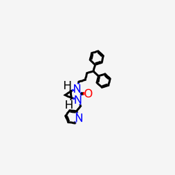 O=C1N(Cc2ccccn2)[C@@H]2C[C@@H]2N1CCCC(c1ccccc1)c1ccccc1